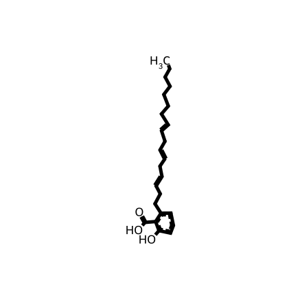 CCCCCCCC=CCC=CCC=CCCc1cccc(O)c1C(=O)O